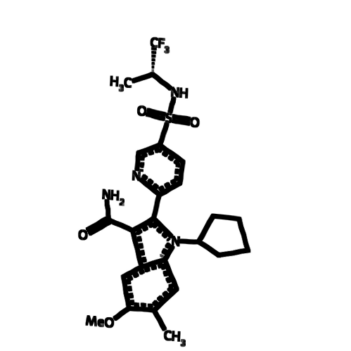 COc1cc2c(C(N)=O)c(-c3ccc(S(=O)(=O)N[C@H](C)C(F)(F)F)cn3)n(C3CCCC3)c2cc1C